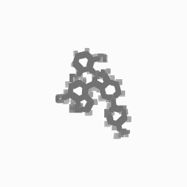 CCc1cccc(CC)c1-n1nc2c(c1-c1ccc(Cl)c3[nH]ccc13)CN(c1ncc(C(C)C)cn1)CC2